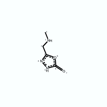 CNCc1n[nH]c(=O)o1